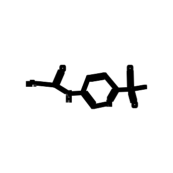 CCCC(=O)Nc1ccc(S(C)(=O)=O)nc1